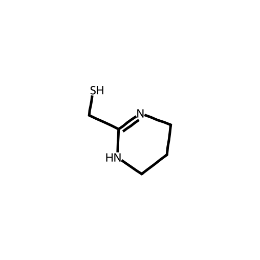 SCC1=NCCCN1